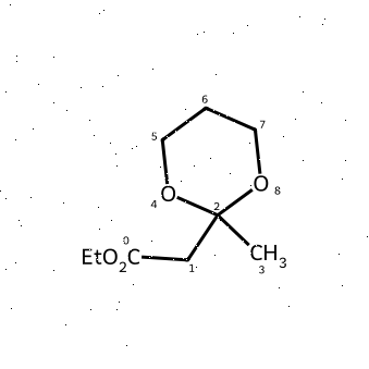 CCOC(=O)CC1(C)OCCCO1